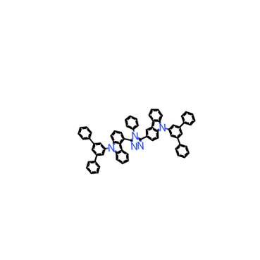 c1ccc(-c2cc(-c3ccccc3)cc(-n3c4ccccc4c4cc(-c5nnc(-c6cccc7c6c6ccccc6n7-c6cc(-c7ccccc7)cc(-c7ccccc7)c6)n5-c5ccccc5)ccc43)c2)cc1